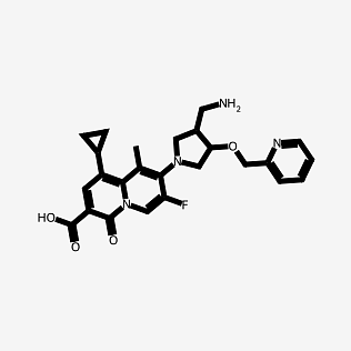 Cc1c(N2CC(CN)C(OCc3ccccn3)C2)c(F)cn2c(=O)c(C(=O)O)cc(C3CC3)c12